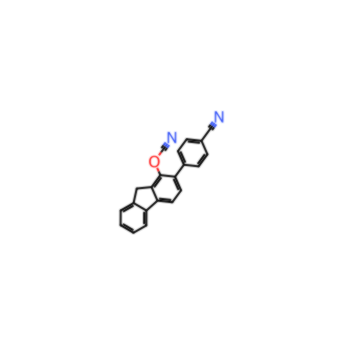 N#COc1c(-c2ccc(C#N)cc2)ccc2c1Cc1ccccc1-2